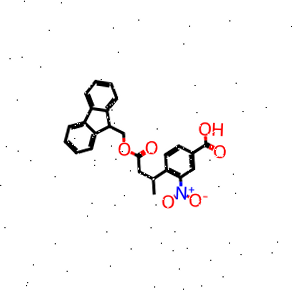 CC(CC(=O)OCC1c2ccccc2-c2ccccc21)c1ccc(C(=O)O)cc1[N+](=O)[O-]